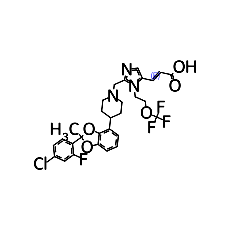 CC1(c2ccc(Cl)cc2F)Oc2cccc(C3CCN(Cc4ncc(/C=C/C(=O)O)n4CCOC(F)(F)F)CC3)c2O1